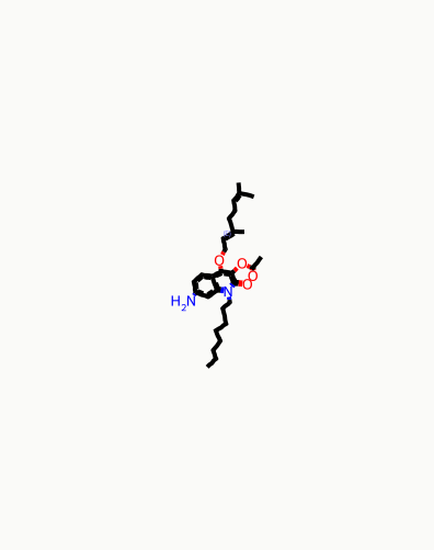 CCCCCCCCn1c(=O)c(OC(C)=O)c(OC/C=C(\C)CCC=C(C)C)c2ccc(N)cc21